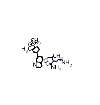 C=C(COc1cc(-c2ccc(S(C)(=O)=O)c(C)c2)cc2ncccc12)/C(=C\C=C/N)C(N)=O